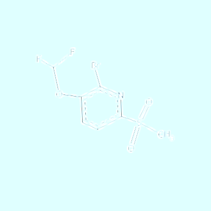 CS(=O)(=O)c1ccc(OC(F)F)c(Br)n1